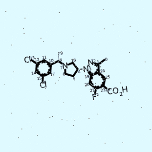 Cc1nn([C@@H]2CCN([C@@H](C)c3cc(Cl)cc(Cl)c3)C2)c2cc(F)c(C(=O)O)cc12